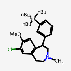 CCC[CH2][Sn]([CH2]CCC)([CH2]CCC)[c]1cccc(C2CN(C)CCc3cc(Cl)c(OC)cc32)c1